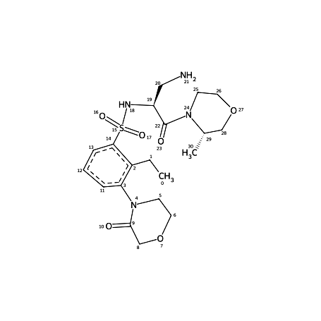 CCc1c(N2CCOCC2=O)cccc1S(=O)(=O)N[C@@H](CN)C(=O)N1CCOC[C@@H]1C